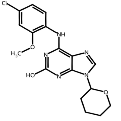 COc1cc(Cl)ccc1Nc1nc(O)nc2c1ncn2C1CCCCO1